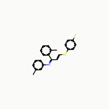 Cc1cccc(/N=C(/C=C/Sc2ccc(F)cc2)c2ccccc2C)c1